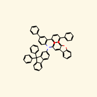 c1ccc(-c2ccc(-c3cc(-c4ccccc4)ccc3N(c3ccc4c(c3)C(c3ccccc3)(c3ccccc3)c3ccccc3-4)c3ccc4oc5ccccc5c4c3)cc2)cc1